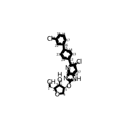 CC[C@H]1OC[C@@H](Oc2nc3nc(-c4ccc(-c5cccc(Cl)c5)cc4)c(Cl)cc3[nH]2)[C@@H]1O